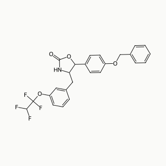 O=C1NC(Cc2cccc(OC(F)(F)C(F)F)c2)C(c2ccc(OCc3ccccc3)cc2)O1